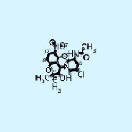 CC(=O)Nc1cc(Cl)cn(C2c3cc([N+](=O)[O-])ccc3OC(C)(C)C2O)c1=O